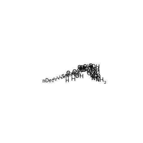 CCCCCCCCCCCCCCCCSCCNC(=O)CCNC(=O)C(O)C(C)(C)COP(=O)(O)OP(=O)(O)OC[C@H]1O[C@@H](n2cnc3c(N)ncnc32)[C@H](O)[C@@H]1OP(=O)(O)O